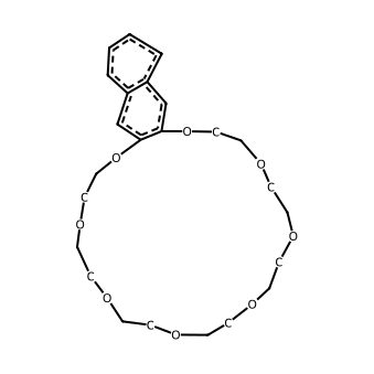 c1ccc2cc3c(cc2c1)OCCOCCOCCOCCOCCOCCOCCO3